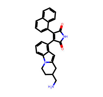 NCC1CCn2c(cc3c(C4=C(c5cccc6ccccc56)C(=O)NC4=O)cccc32)C1